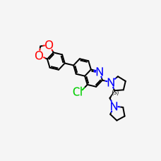 Clc1cc(N2CCC[C@H]2CN2CCCC2)nc2ccc(-c3ccc4c(c3)OCO4)cc12